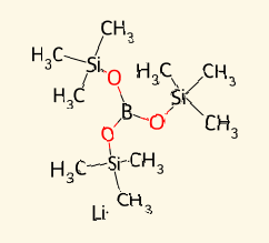 C[Si](C)(C)OB(O[Si](C)(C)C)O[Si](C)(C)C.[Li]